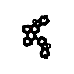 c1ccc(-c2ccccc2N(c2ccc3oc4cnccc4c3c2)c2ccc3oc4cnccc4c3c2)cc1